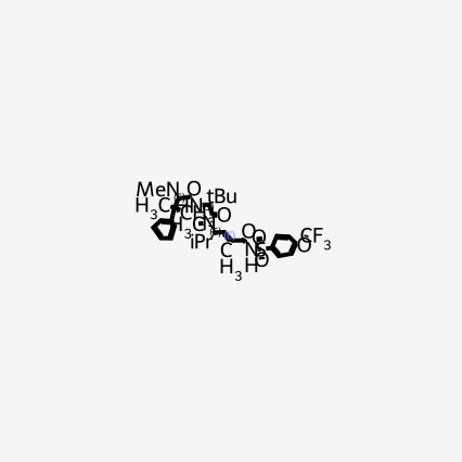 CN[C@H](C(=O)N[C@H](C(=O)N(C)[C@H](/C=C(\C)C(=O)NS(=O)(=O)c1ccc(OC(F)(F)F)cc1)C(C)C)C(C)(C)C)C(C)(C)c1ccccc1